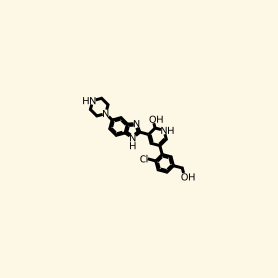 OCc1ccc(Cl)c(C2=CNC(O)C(c3nc4cc(N5CCNCC5)ccc4[nH]3)=C2)c1